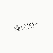 OC1CCC2(CC1)CCC(CCc1ccoc1)CC2